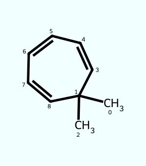 CC1(C)C=CC=CC=C1